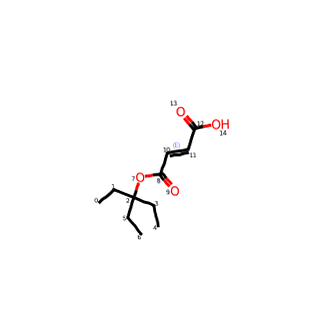 CCC(CC)(CC)OC(=O)/C=C/C(=O)O